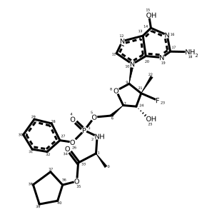 C[C@H](NP(=O)(OC[C@H]1O[C@@H](n2cnc3c(O)nc(N)nc32)[C@](C)(F)[C@@H]1O)Oc1ccccc1)C(=O)OC1CCCC1